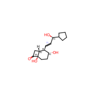 O=C1C[C@@H]2[C@@H](/C=C/[C@@H](O)C3CCCC3)[C@H](O)CC[C@]12O